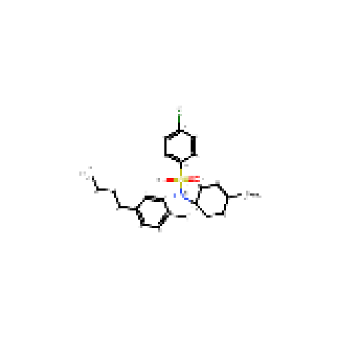 CCCCC[C@H]1CC[C@@](Cc2ccc(CCCC(=O)O)cc2)(NS(=O)(=O)c2ccc(Cl)cc2)CC1